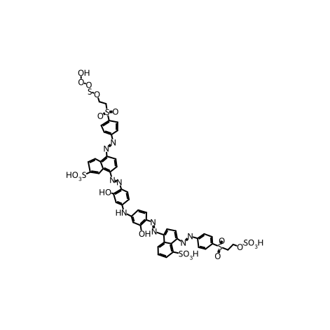 O=S(=O)(O)OCCS(=O)(=O)c1ccc(/N=N/c2ccc(/N=N/c3ccc(Nc4ccc(/N=N/c5ccc(/N=N/c6ccc(S(=O)(=O)CCOSOOO)cc6)c6ccc(S(=O)(=O)O)cc56)c(O)c4)cc3O)c3cccc(S(=O)(=O)O)c23)cc1